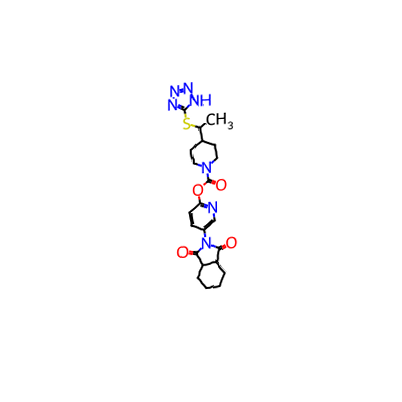 CC(Sc1nnn[nH]1)C1CCN(C(=O)Oc2ccc(N3C(=O)C4CCCCC4C3=O)cn2)CC1